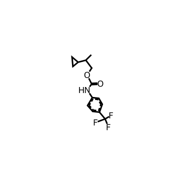 CC(COC(=O)Nc1ccc(C(F)(F)F)cc1)C1CC1